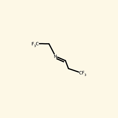 FC(F)(F)CC=NCC(F)(F)F